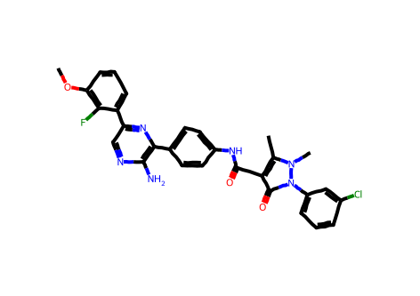 COc1cccc(-c2cnc(N)c(-c3ccc(NC(=O)c4c(C)n(C)n(-c5cccc(Cl)c5)c4=O)cc3)n2)c1F